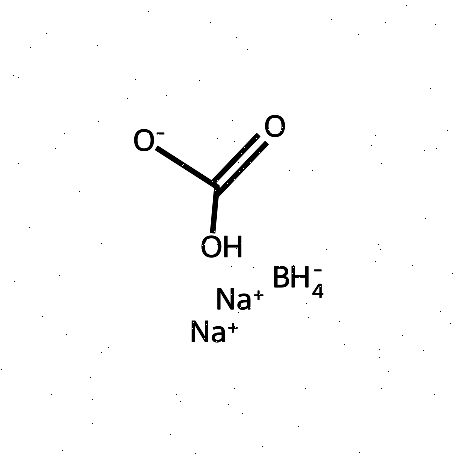 O=C([O-])O.[BH4-].[Na+].[Na+]